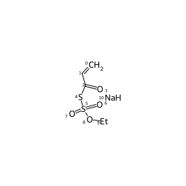 C=CC(=O)SS(=O)(=O)OCC.[NaH]